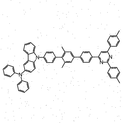 Cc1ccc(-c2cc(-c3ccc(-c4cc(C)c(-c5ccc(-n6c7ccccc7c7cc(N(c8ccccc8)c8ccccc8)ccc76)cc5)c(C)c4)cc3)nc(-c3ccc(C)cc3)n2)cc1